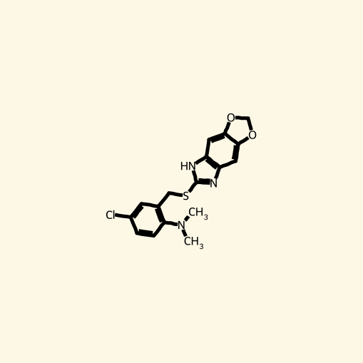 CN(C)c1ccc(Cl)cc1CSc1nc2cc3c(cc2[nH]1)OCO3